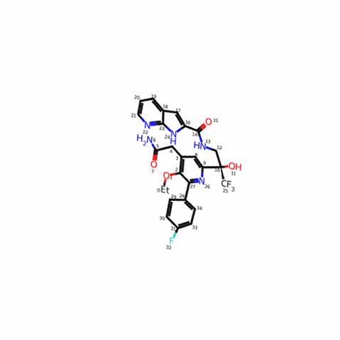 CCOc1c(CC(N)=O)cc([C@@](O)(CNC(=O)c2cc3cccnc3[nH]2)C(F)(F)F)nc1-c1ccc(F)cc1